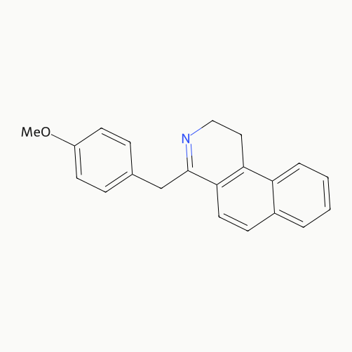 COc1ccc(CC2=NCCc3c2ccc2ccccc32)cc1